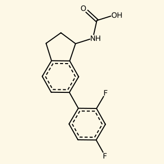 O=C(O)NC1CCc2ccc(-c3ccc(F)cc3F)cc21